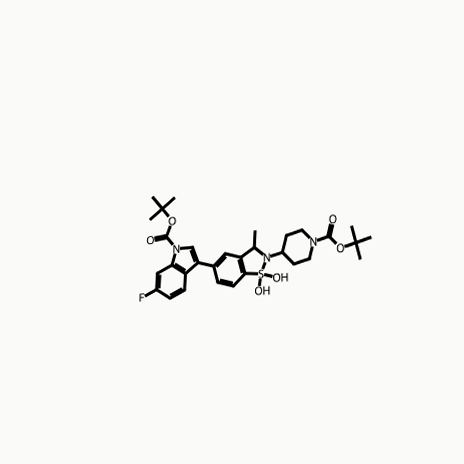 CC1c2cc(-c3cn(C(=O)OC(C)(C)C)c4cc(F)ccc34)ccc2S(O)(O)N1C1CCN(C(=O)OC(C)(C)C)CC1